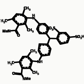 CNC(=O)c1c(C)cc(C)c(Nc2ccc(C(c3ccc(Nc4c(C)cc(C)c(C(=O)NC)c4C)cc3)c3ccc(S(=O)(=O)O)cc3S(=O)(=O)O)cc2)c1C